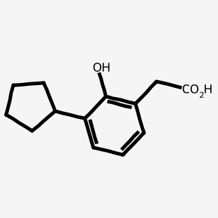 O=C(O)Cc1cccc(C2CCCC2)c1O